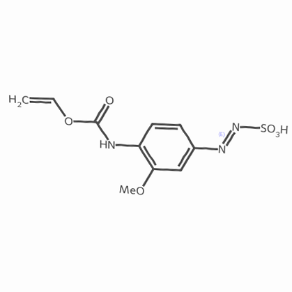 C=COC(=O)Nc1ccc(/N=N/S(=O)(=O)O)cc1OC